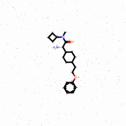 CN(C(=O)[C@@H](N)C1CCC(CCOc2ccccc2)CC1)C1CCC1